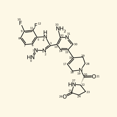 N=N/N=C(\Nc1cccc(F)c1F)c1cc(C2=CCN(C(=O)[C@@H]3CCC(=O)N3)CC2)cnc1N